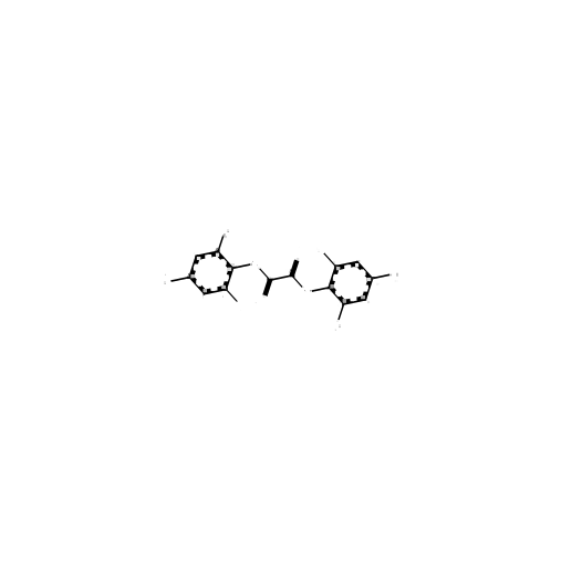 O=C(Nc1c(Br)cc(Br)cc1Br)C(=O)Nc1c(Br)cc(Br)cc1Br